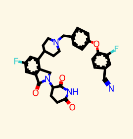 N#Cc1ccc(Oc2ccc(CN3CCC(c4cc(F)cc5c4CN(C4CCC(=O)NC4=O)C5=O)CC3)cc2)c(F)c1